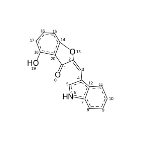 O=C1C(=Cc2c[nH]c3ccccc23)Oc2cccc(O)c21